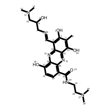 Cc1c(O)c(C=NCC(O)CN(C)C)c2nc3c(O)ccc(C(=O)NCCN(C)C)c3nc2c1O